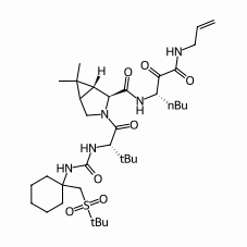 C=CCNC(=O)C(=O)[C@H](CCCC)NC(=O)[C@@H]1[C@@H]2C(CN1C(=O)[C@@H](NC(=O)NC1(CS(=O)(=O)C(C)(C)C)CCCCC1)C(C)(C)C)C2(C)C